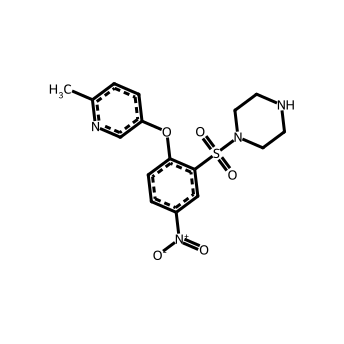 Cc1ccc(Oc2ccc([N+](=O)[O-])cc2S(=O)(=O)N2CCNCC2)cn1